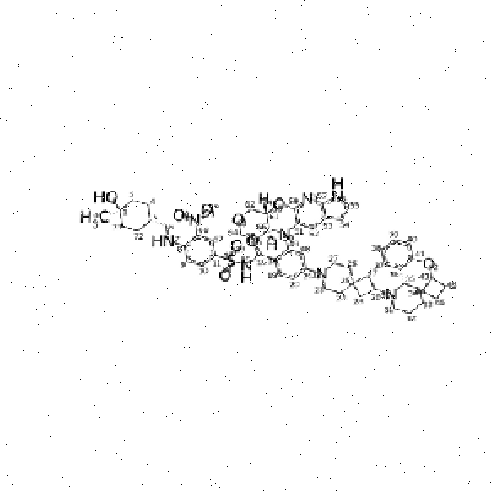 C[C@]1(O)CC[C@H](CNc2ccc(S(=O)(=O)NC(=O)c3ccc(N4CCC5(CC4)CC(N4CCCC[C@H]4c4ccccc4OC4CCC4)C5)cc3N3c4cc5cc[nH]c5nc4O[C@H]4COCC[C@@H]43)cc2[N+](=O)[O-])CC1